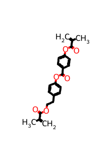 C=C(C)C(=O)OCCc1ccc(OC(=O)c2ccc(OC(=O)C(=C)C)cc2)cc1